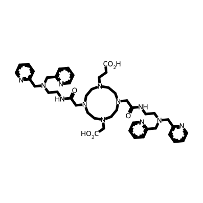 O=C(O)CCN1CCN(CC(=O)NCCN(Cc2ccccn2)Cc2ccccn2)CCN(CC(=O)O)CCN(CC(=O)NCCN(Cc2ccccn2)Cc2ccccn2)CC1